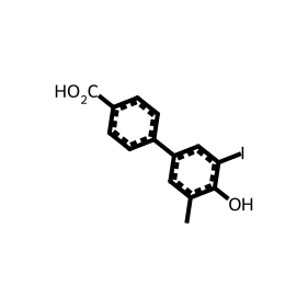 Cc1cc(-c2ccc(C(=O)O)cc2)cc(I)c1O